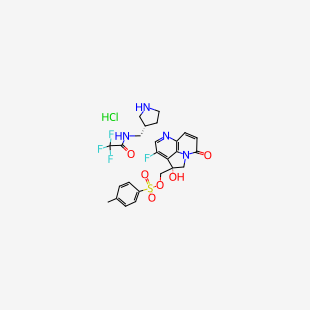 Cc1ccc(S(=O)(=O)OC[C@]2(O)Cn3c(=O)ccc4ncc(F)c2c43)cc1.Cl.O=C(NC[C@H]1CCNC1)C(F)(F)F